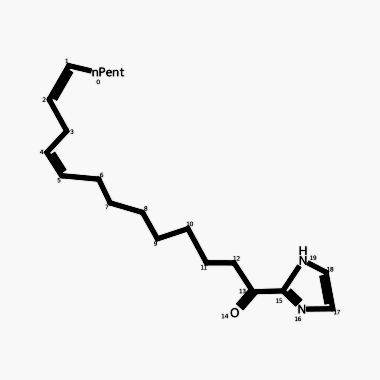 CCCCC/C=C\C/C=C\CCCCCCCC(=O)c1ncc[nH]1